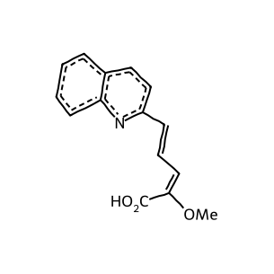 COC(=CC=Cc1ccc2ccccc2n1)C(=O)O